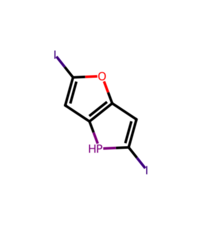 Ic1cc2[pH]c(I)cc2o1